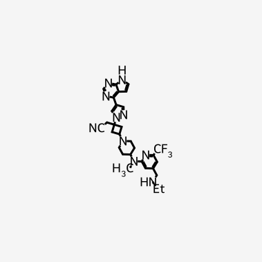 CCNCc1cc(N(C)C2CCN(C3CC(CC#N)(n4cc(-c5ncnc6[nH]ccc56)cn4)C3)CC2)nc(C(F)(F)F)c1